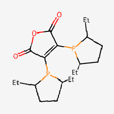 CCC1CCC(CC)P1C1=C(P2C(CC)CCC2CC)C(=O)OC1=O